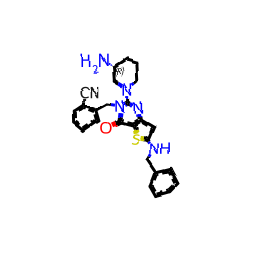 N#Cc1ccccc1Cn1c(N2CCC[C@@H](N)C2)nc2cc(NCc3ccccc3)sc2c1=O